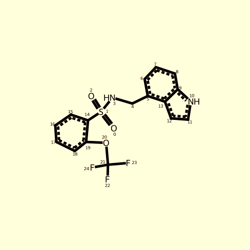 O=S(=O)(NCc1cccc2[nH]ccc12)c1ccccc1OC(F)(F)F